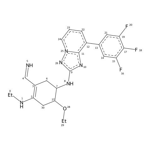 CCNC1=C(C=N)CC(Nc2nc3c(-c4cc(F)c(F)c(F)c4)cccn3n2)C(OCC)C1